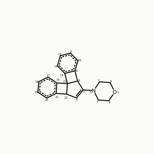 C1=C(N2CCOCC2)C2c3ccccc3C23c2ccccc2C13